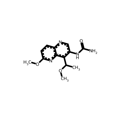 COc1ccc2ncc(NC(N)=O)c(C(C)OC)c2n1